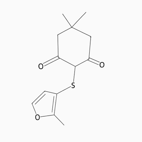 Cc1occc1SC1C(=O)CC(C)(C)CC1=O